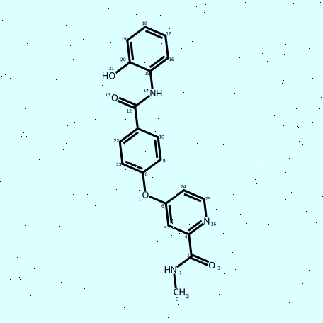 CNC(=O)c1cc(Oc2ccc(C(=O)Nc3ccccc3O)cc2)ccn1